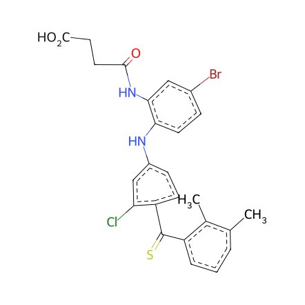 Cc1cccc(C(=S)c2ccc(Nc3ccc(Br)cc3NC(=O)CCC(=O)O)cc2Cl)c1C